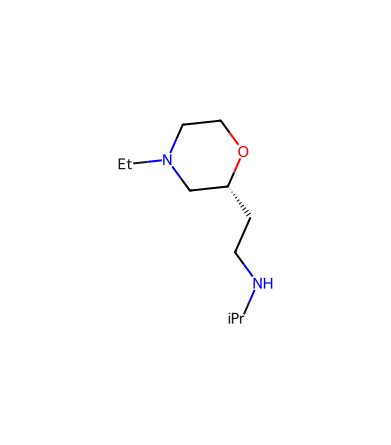 CCN1CCO[C@H](CCNC(C)C)C1